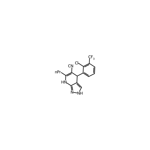 CCCC1=C(C#N)C(c2cccc(C(F)(F)F)c2Cl)c2c[nH]nc2N1